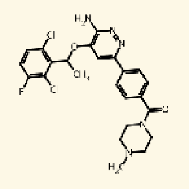 CC(Oc1cc(-c2ccc(C(=O)N3CCN(C)CC3)cc2)nnc1N)c1c(Cl)ccc(F)c1Cl